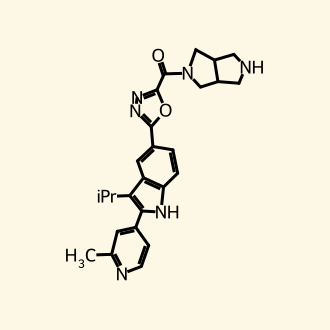 Cc1cc(-c2[nH]c3ccc(-c4nnc(C(=O)N5CC6CNCC6C5)o4)cc3c2C(C)C)ccn1